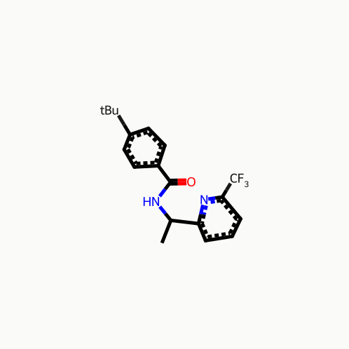 CC(NC(=O)c1ccc(C(C)(C)C)cc1)c1cccc(C(F)(F)F)n1